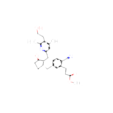 COC(=O)CCc1cc(C[C@H]2CCC(=O)C2Cc2cc(C)c(CCO)c(C)n2)ccc1C#N